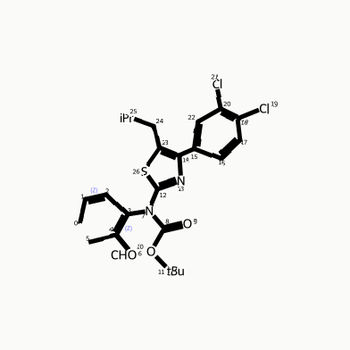 C/C=C\C(=C(/C)C=O)N(C(=O)OC(C)(C)C)c1nc(-c2ccc(Cl)c(Cl)c2)c(CC(C)C)s1